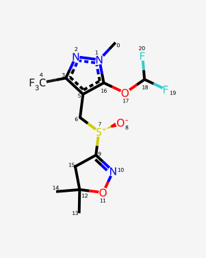 Cn1nc(C(F)(F)F)c(C[S@@+]([O-])C2=NOC(C)(C)C2)c1OC(F)F